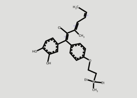 C\C=C/C=C(C)/C(Cl)=C(\c1ccc(OCC[N+](C)(CC)CC)cc1)c1ccc(O)c(O)c1